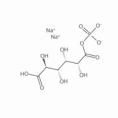 O=C(O)[C@@H](O)[C@@H](O)[C@H](O)[C@@H](O)C(=O)OP(=O)([O-])[O-].[Na+].[Na+]